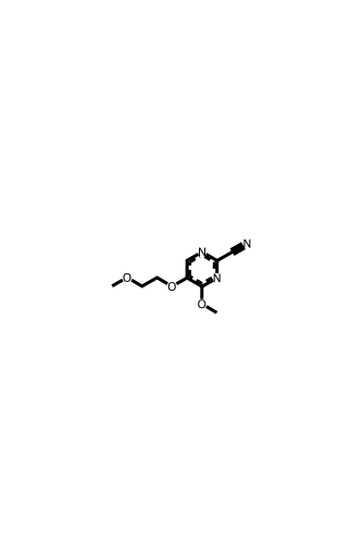 COCCOc1cnc(C#N)nc1OC